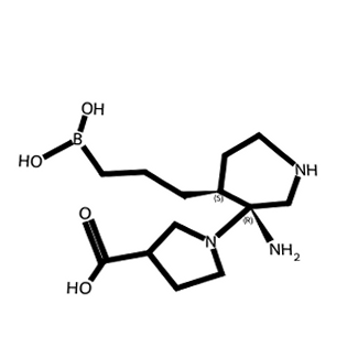 N[C@]1(N2CCC(C(=O)O)C2)CNCC[C@@H]1CCCB(O)O